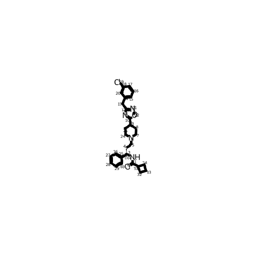 O=C(N[C@@H](CCN1CCC(c2nc(Cc3cccc(Cl)c3)no2)CC1)c1ccccc1)C1CCC1